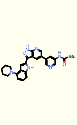 CCCCC(=O)Nc1cncc(-c2cnc3[nH]nc(-c4cc5c(N6CCCCC6)cccc5[nH]4)c3c2)c1